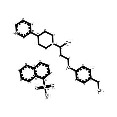 CCc1ccc(OCCC(O)N2CCC(c3cccnc3)CC2)cc1.O=S(=O)(O)c1cccc2ccccc12